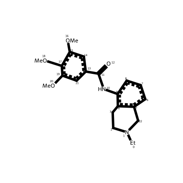 CCN1CCc2c(cccc2NC(=O)c2cc(OC)c(OC)c(OC)c2)C1